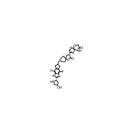 Cn1c([C@@H]2C[C@@H](O)CN2)nc2c(F)c3c(c(F)c21)CC(CN1CCC2(CC1)CN(c1cnc4c(n1)NC(=O)CO4)C(=O)O2)C3